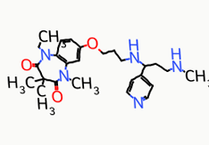 CCN1C(=O)C(C)(C)C(=O)N(C)c2cc(OCCCNC(CCNC)c3ccncc3)ccc21